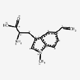 C=Cc1ccc2c(c1)c(CC(N)C(=O)O)cn2C